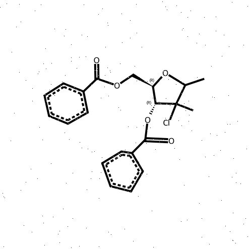 CC1O[C@H](COC(=O)c2ccccc2)[C@@H](OC(=O)c2ccccc2)C1(C)Cl